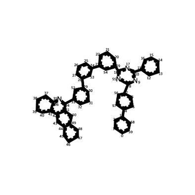 c1ccc(-c2ccc(-c3nc(-c4ccccc4)nc(-c4cccc(-c5cccc(-c6cccc(-c7nc8ccccc8c8cc9ccccc9cc78)c6)c5)c4)n3)cc2)cc1